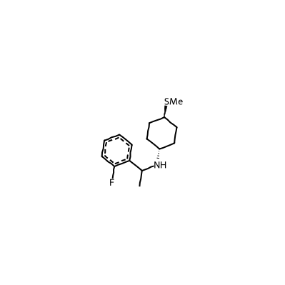 CS[C@H]1CC[C@H](NC(C)c2ccccc2F)CC1